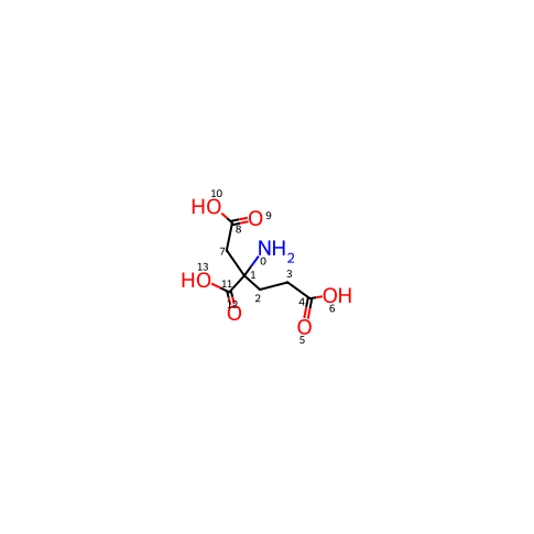 NC(CCC(=O)O)(CC(=O)O)C(=O)O